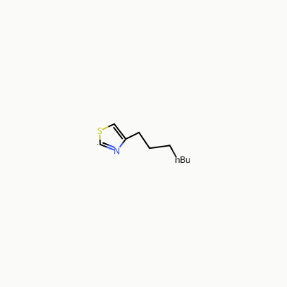 CCCCCCCc1cs[c]n1